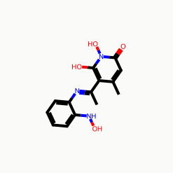 C/C(=N\c1ccccc1NO)c1c(C)cc(=O)n(O)c1O